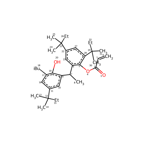 C=CC(=O)Oc1c(C(C)c2cc(C(C)(C)CC)cc(C(C)CC)c2O)cc(C(C)(C)CC)cc1C(C)(C)CC